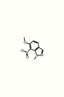 COc1ccc2cnn(C)c2c1[N+](=O)[O-]